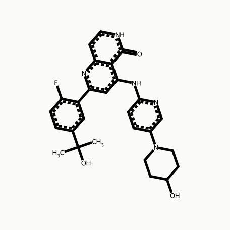 CC(C)(O)c1ccc(F)c(-c2cc(Nc3ccc(N4CCC(O)CC4)cn3)c3c(=O)[nH]ccc3n2)c1